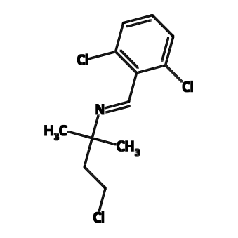 CC(C)(CCCl)N=Cc1c(Cl)cccc1Cl